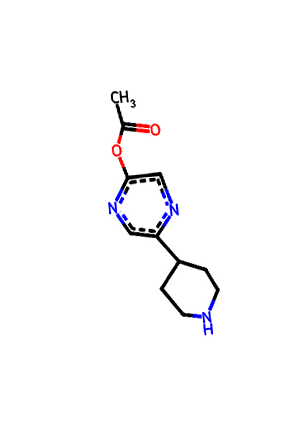 CC(=O)Oc1cnc(C2CCNCC2)cn1